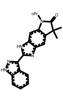 CCCN1C(=O)C(C)(C)c2cc3nc(-c4n[nH]c5ccccc45)[nH]c3cc21